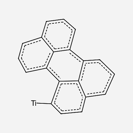 [Ti][c]1ccc2cccc3c4cccc5cccc(c1c23)c54